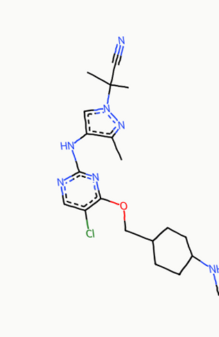 CNC1CCC(COc2nc(Nc3cn(C(C)(C)C#N)nc3C)ncc2Cl)CC1